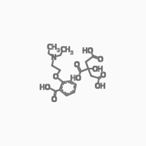 CCN(CC)CCOc1ccccc1C(=O)O.O=C(O)CC(O)(CC(=O)O)C(=O)O